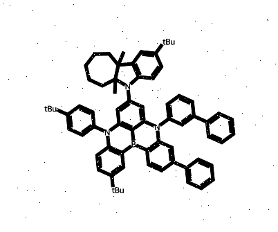 CC(C)(C)c1ccc(N2c3ccc(C(C)(C)C)cc3B3c4ccc(-c5ccccc5)cc4N(c4cccc(-c5ccccc5)c4)c4cc(N5c6ccc(C(C)(C)C)cc6C6(C)CCCCCC56C)cc2c43)cc1